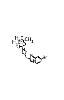 CC(C)(C)OC(=O)N1CC(Cc2cn3ccc(Br)cc3n2)C1